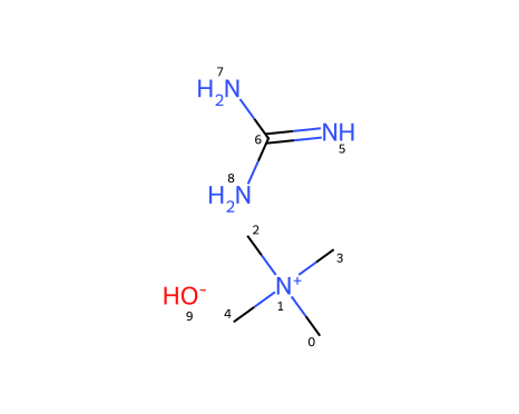 C[N+](C)(C)C.N=C(N)N.[OH-]